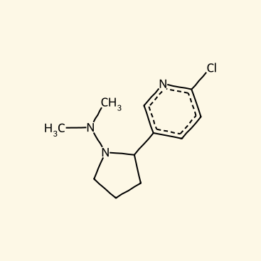 CN(C)N1CCCC1c1ccc(Cl)nc1